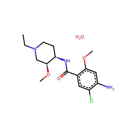 CCN1CC[C@@H](NC(=O)c2cc(Cl)c(N)cc2OC)[C@@H](OC)C1.O